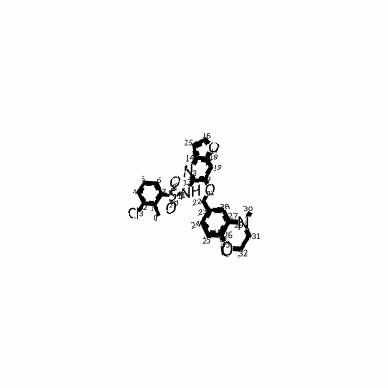 Cc1c(Cl)cccc1S(=O)(=O)Nc1nc2ccoc2cc1OCc1ccc2c(c1)N(C)CCO2